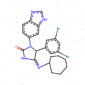 O=C1N/C(=N/C2CCCCCC2)C(c2cc(Br)cc(Br)c2)N1c1ccc2nc[nH]c2c1